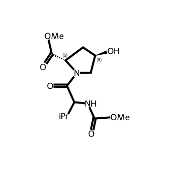 COC(=O)NC(C(=O)N1C[C@H](O)C[C@H]1C(=O)OC)C(C)C